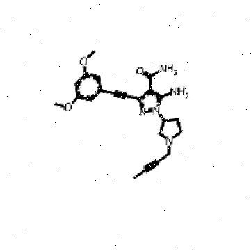 CC#CCN1CCC(n2nc(C#Cc3cc(OC)cc(OC)c3)c(C(N)=O)c2N)C1